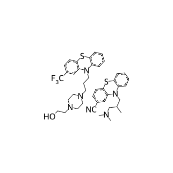 CC(CN(C)C)CN1c2ccccc2Sc2ccc(C#N)cc21.OCCN1CCN(CCCN2c3ccccc3Sc3ccc(C(F)(F)F)cc32)CC1